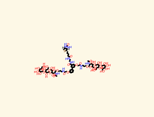 CC(=O)NC1C(O)[C@H](O[C@@H]2OC(CO)[C@H](O)C(O[C@H]3OC(CO)[C@H](O)C(O)C3O)C2O)C(CO)O[C@H]1OCCCNC(=O)COc1cccc(-c2cc(OCC(=O)NCCCO[C@@H]3OC(CO)[C@@H](O[C@@H]4OC(CO)[C@H](O)C(O[C@H]5OC(CO)[C@H](O)C(O)C5O)C4O)C(O)C3NC(C)=O)cc(C(=O)NCCNC(=O)CCCC[C@@H]3SC[C@@H]4NC(=O)N[C@@H]43)c2)c1